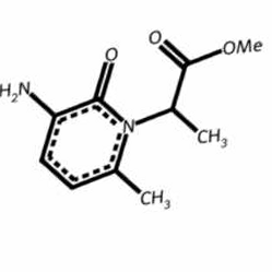 COC(=O)C(C)n1c(C)ccc(N)c1=O